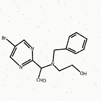 O=CC(c1ncc(Br)cn1)N(CCO)Cc1ccccc1